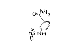 NC(=O)c1cccc(N[SH](=O)=O)c1